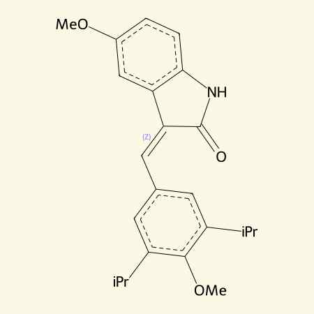 COc1ccc2c(c1)/C(=C/c1cc(C(C)C)c(OC)c(C(C)C)c1)C(=O)N2